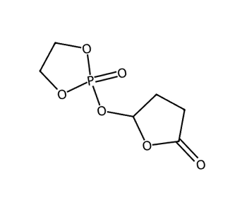 O=C1CCC(OP2(=O)OCCO2)O1